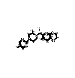 Cc1cnc(N2CCN([C@H](C)c3nc4c(cc3F)OCCO4)[C@H](C)C2)nc1